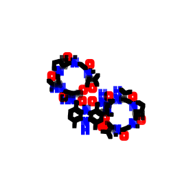 CNc1c(C(=O)N[C@@H]2C(=O)N[C@H](C(C)C)C(=O)N3CCC[C@H]3C(=O)N(C)CC(=O)N(C)[C@@H](C(C)C)C(=O)O[C@@H]2C)c2nc3c(C(=O)N[C@@H]4C(=O)N[C@H](C(C)C)C(=O)N5CCC[C@H]5C(=O)N(C)CC(=O)N(C)[C@@H](C(C)C)C(=O)O[C@@H]4C)ccc(C)c3[nH]c-2c(C)c1=O